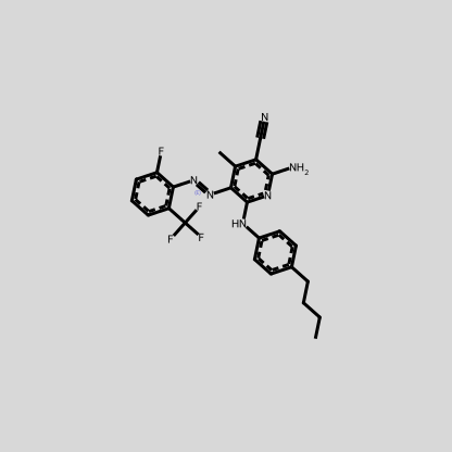 CCCCc1ccc(Nc2nc(N)c(C#N)c(C)c2/N=N/c2c(F)cccc2C(F)(F)F)cc1